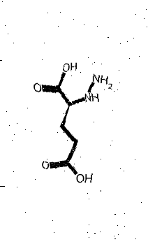 NN[C@@H](CCC(=O)O)C(=O)O